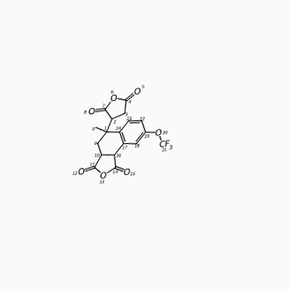 CC1(C2CC(=O)OC2=O)CC2C(=O)OC(=O)C2c2cc(OC(F)(F)F)ccc21